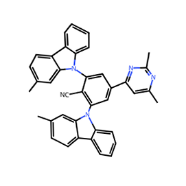 Cc1ccc2c3ccccc3n(-c3cc(-c4cc(C)nc(C)n4)cc(-n4c5ccccc5c5ccc(C)cc54)c3C#N)c2c1